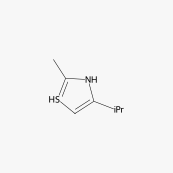 CC1=[SH]C=C(C(C)C)N1